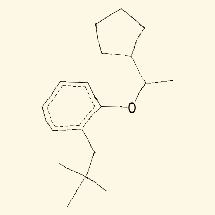 CC(Oc1ccccc1CC(C)(C)C)C1CCCC1